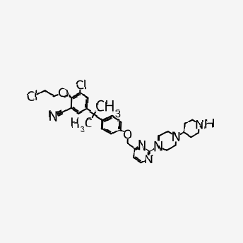 CC(C)(c1ccc(OCc2ccnc(N3CCN(C4CCNCC4)CC3)n2)cc1)c1cc(Cl)c(OCCCl)c(C#N)c1